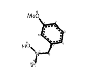 COc1cccc(CN(O)C(C)C)c1